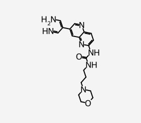 N=C/C(=C\N)c1cnc2ccc(NC(=O)NCCCN3CCOCC3)nc2c1